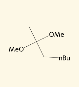 CCCCCC(C)(OC)OC